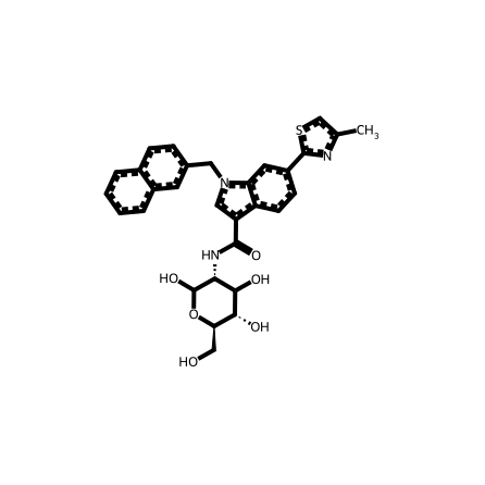 Cc1csc(-c2ccc3c(C(=O)N[C@H]4C(O)O[C@H](CO)[C@@H](O)C4O)cn(Cc4ccc5ccccc5c4)c3c2)n1